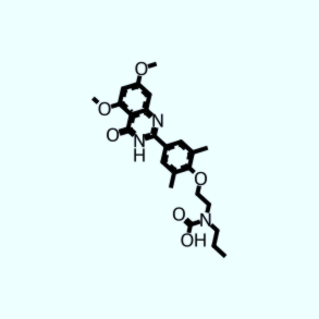 CCCN(CCOc1c(C)cc(-c2nc3cc(OC)cc(OC)c3c(=O)[nH]2)cc1C)C(=O)O